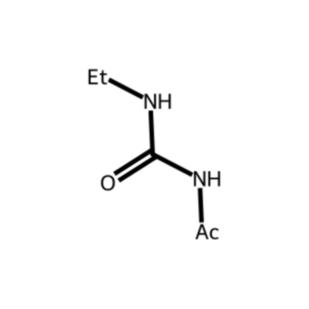 CCNC(=O)NC(C)=O